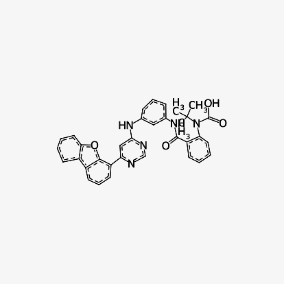 CC(C)(C)N(C(=O)O)c1ccccc1C(=O)Nc1cccc(Nc2cc(-c3cccc4c3oc3ccccc34)ncn2)c1